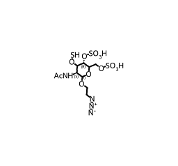 CC(=O)N[C@H]1C(OS)[C@H](OS(=O)(=O)O)C(COS(=O)(=O)O)O[C@H]1OCCN=[N+]=[N-]